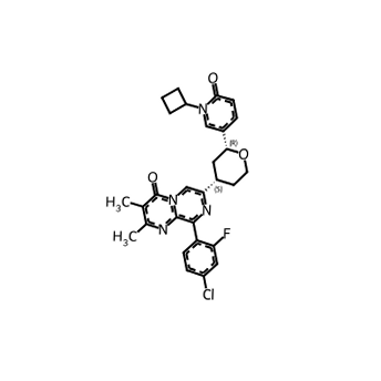 Cc1nc2c(-c3ccc(Cl)cc3F)nc([C@H]3CCO[C@@H](c4ccc(=O)n(C5CCC5)c4)C3)cn2c(=O)c1C